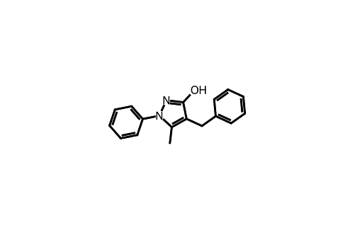 Cc1c(Cc2ccccc2)c(O)nn1-c1ccccc1